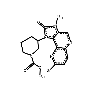 Cn1c(=O)n(C2CCCN(C(=O)OC(C)(C)C)C2)c2c3nc(Br)ccc3ncc21